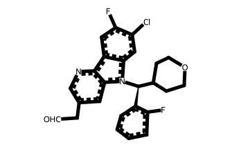 O=CCc1cnc2c3cc(F)c(Cl)cc3n([C@H](c3ccccc3F)C3CCOCC3)c2c1